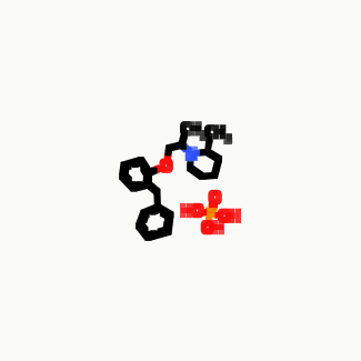 CC(COc1ccccc1Cc1ccccc1)N1CCCC[C@@H]1C.O=P(O)(O)O